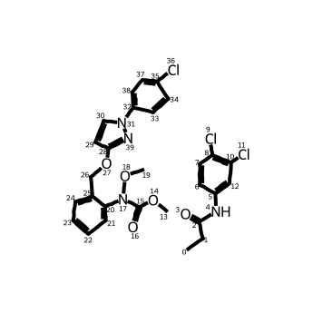 CCC(=O)Nc1ccc(Cl)c(Cl)c1.COC(=O)N(OC)c1ccccc1COc1ccn(-c2ccc(Cl)cc2)n1